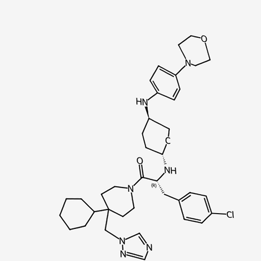 O=C([C@@H](Cc1ccc(Cl)cc1)N[C@H]1CC[C@H](Nc2ccc(N3CCOCC3)cc2)CC1)N1CCC(Cn2cncn2)(C2CCCCC2)CC1